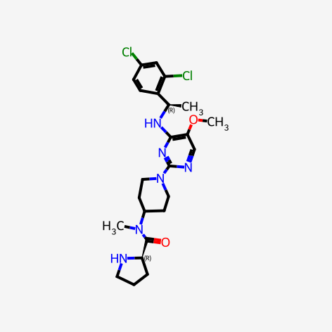 COc1cnc(N2CCC(N(C)C(=O)[C@H]3CCCN3)CC2)nc1N[C@H](C)c1ccc(Cl)cc1Cl